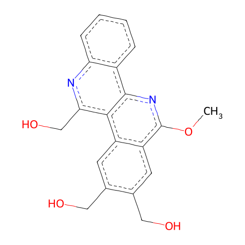 COc1nc2c3ccccc3nc(CO)c2c2cc(CO)c(CO)cc12